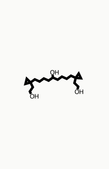 OCCC1(CCCCC(O)CCCCC2(CCO)CC2)CC1